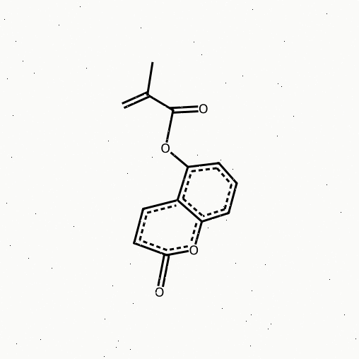 C=C(C)C(=O)Oc1cccc2oc(=O)ccc12